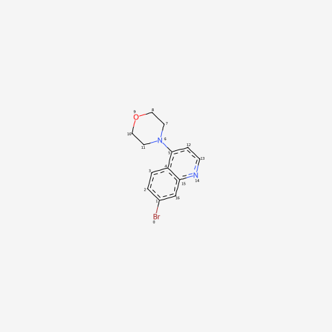 Brc1ccc2c(N3CCOCC3)ccnc2c1